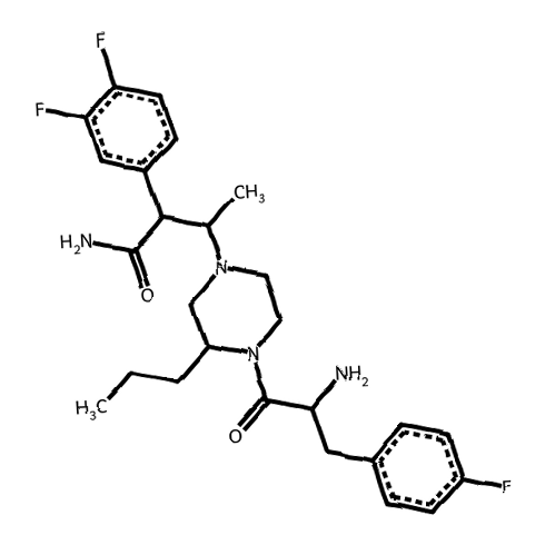 CCCC1CN(C(C)C(C(N)=O)c2ccc(F)c(F)c2)CCN1C(=O)C(N)Cc1ccc(F)cc1